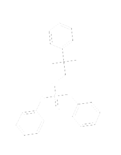 CC(C)(COP(=O)(Oc1ccccc1)Oc1ccccc1)c1ccccc1